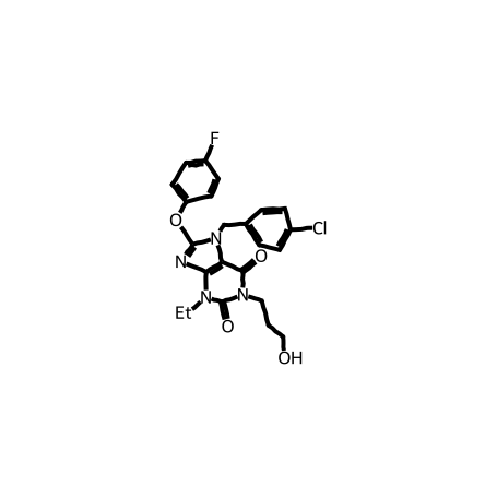 CCn1c(=O)n(CCCO)c(=O)c2c1nc(Oc1ccc(F)cc1)n2Cc1ccc(Cl)cc1